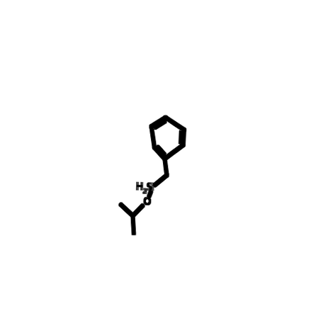 CC(C)O[SiH2]Cc1ccccc1